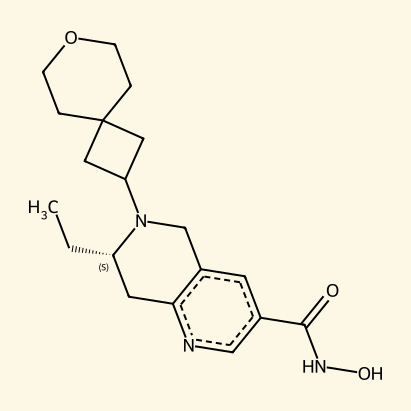 CC[C@H]1Cc2ncc(C(=O)NO)cc2CN1C1CC2(CCOCC2)C1